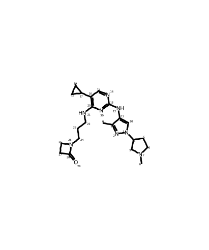 Cc1nn(C2CCN(C)C2)cc1Nc1ncc(C2CC2)c(NCCCN2CCC2=O)n1